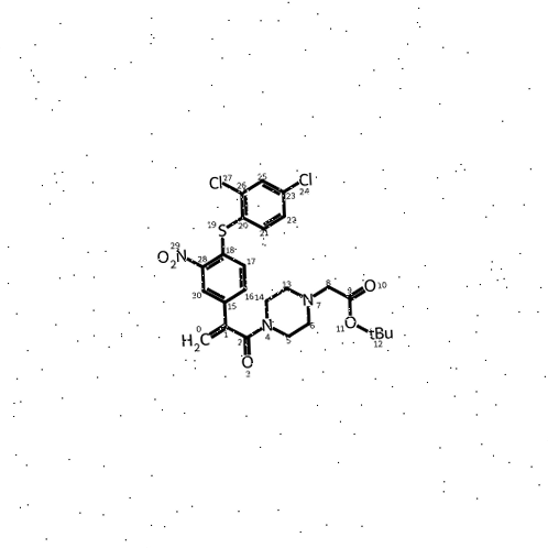 C=C(C(=O)N1CCN(CC(=O)OC(C)(C)C)CC1)c1ccc(Sc2ccc(Cl)cc2Cl)c([N+](=O)[O-])c1